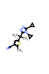 Cc1sc(C(C)(C)c2nnc(C3CC3)n2C2CC2)cc1C#N